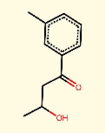 Cc1cccc(C(=O)CC(C)O)c1